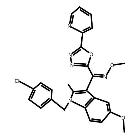 CON=C(c1nnc(-c2ccccn2)o1)c1c(C)n(Cc2ccc(Cl)cc2)c2ccc(OC)cc12